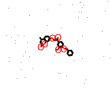 COc1cc(C(=O)COc2ccc3c(C)cc(=O)oc3c2)ccc1OCc1ccccc1